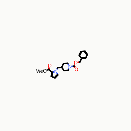 COC(=O)c1cccn1CC1CCN(C(=O)OCc2ccccc2)CC1